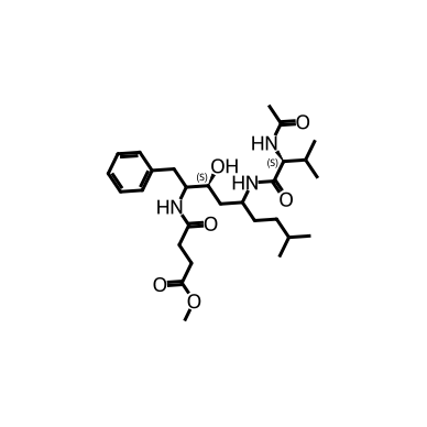 COC(=O)CCC(=O)NC(Cc1ccccc1)[C@@H](O)CC(CCC(C)C)NC(=O)[C@@H](NC(C)=O)C(C)C